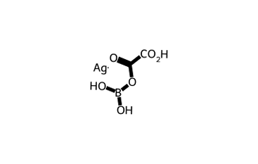 O=C(O)C(=O)OB(O)O.[Ag]